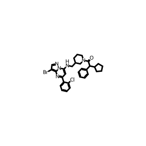 O=C(C(c1ccccc1)C1CCCC1)N1CCCC(CNc2cc(-c3ccccc3Cl)nc3c(Br)cnn23)C1